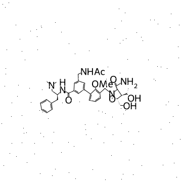 COc1c(CN2O[C@@H](CO)[C@H]([C@H](C)O)[C@H]2C(N)=O)cccc1-c1cc(CNC(C)=O)cc(C(=O)N[C@@H](Cc2ccccc2)CN(C)C)c1